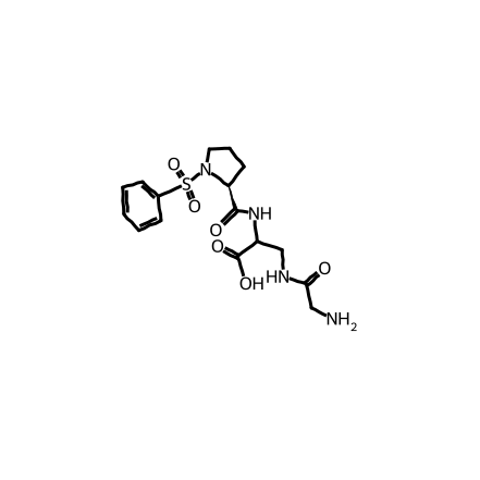 NCC(=O)NCC(NC(=O)[C@@H]1CCCN1S(=O)(=O)c1ccccc1)C(=O)O